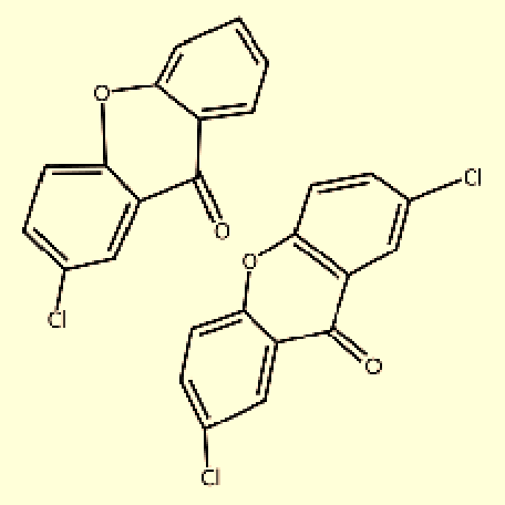 O=c1c2cc(Cl)ccc2oc2ccc(Cl)cc12.O=c1c2ccccc2oc2ccc(Cl)cc12